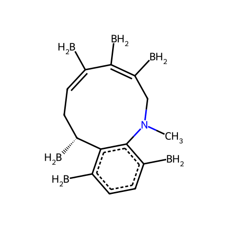 BC1=C/C[C@@H](B)c2c(B)ccc(B)c2N(C)C/C(B)=C\1B